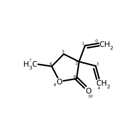 C=CC1(C=C)CC(C)OC1=O